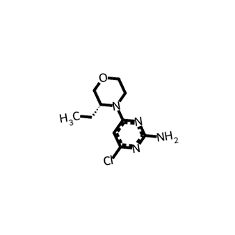 CC[C@@H]1COCCN1c1cc(Cl)nc(N)n1